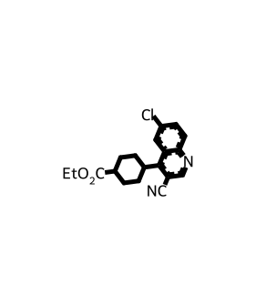 CCOC(=O)C1CCC(c2c(C#N)cnc3ccc(Cl)cc23)CC1